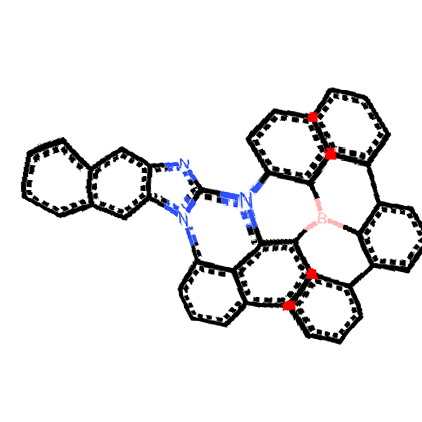 c1ccc(-c2cccc(-c3ccccc3)c2B2c3ccccc3-n3c4c2ccc2cccc(c24)n2c4cc5ccccc5cc4nc32)cc1